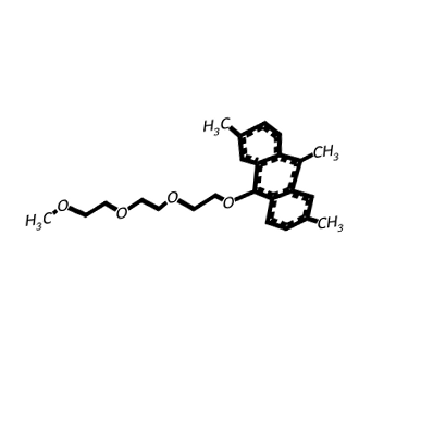 COCCOCCOCCOc1c2ccc(C)cc2c(C)c2ccc(C)cc12